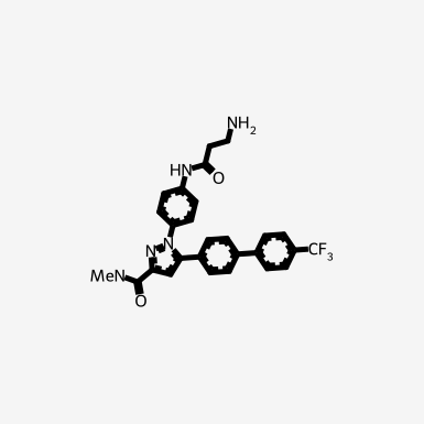 CNC(=O)c1cc(-c2ccc(-c3ccc(C(F)(F)F)cc3)cc2)n(-c2ccc(NC(=O)CCN)cc2)n1